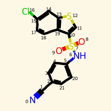 N#Cc1ccc(NS(=O)(=O)c2csc3cc(Cl)ccc23)cc1